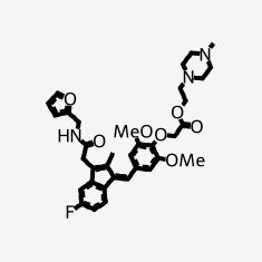 COc1cc(C=C2C(C)=C(CC(=O)NCc3ccco3)c3cc(F)ccc32)cc(OC)c1OCC(=O)OCCN1CCN(C)CC1